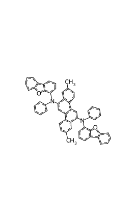 Cc1ccc2c(c1)c(N(c1ccccc1)c1cccc3c1oc1ccccc13)cc1c3ccc(C)cc3c(N(c3ccccc3)c3cccc4c3oc3ccccc34)cc21